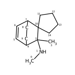 CNC1(C)C2C=CC(CC2)C12CCCC2